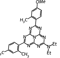 CCN(CC)C1=NC2=NC(c3ccc(C)cc3C)=NC3=NC(c4ccc(OC)cc4C)=NC(=N1)N32